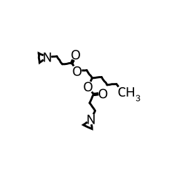 CCCCC(COC(=O)CCN1CC1)OC(=O)CCN1CC1